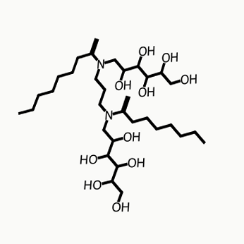 C=C(CCCCCCC)N(CCCN(CC(O)C(O)C(O)C(O)CO)C(=C)CCCCCCC)CC(O)C(O)C(O)C(O)CO